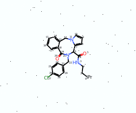 CC(C)CCNC(=O)C1c2cccn2Cc2ccccc2C(=O)N1Cc1ccc(Cl)cc1